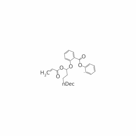 C=CC(=O)OC(CCCCCCCCCCCC)Oc1ccccc1C(=O)Oc1[c]cccc1